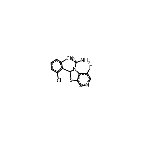 N#Cc1cccc(Cl)c1C1Sc2[c]ncc(F)c2N1C(N)=O